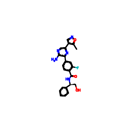 Cc1oncc1-c1cnc(N)c(-c2ccc(C(=O)N[C@H](CO)c3ccccc3)c(F)c2)n1